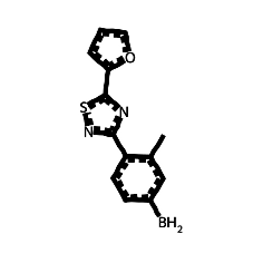 Bc1ccc(-c2nsc(-c3ccco3)n2)c(C)c1